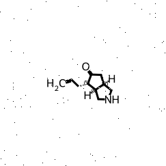 C=CC[C@@H]1C(=O)C[C@H]2CNC[C@H]21